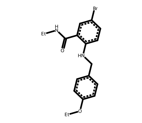 CCNC(=O)c1cc(Br)ccc1NCc1ccc(OCC)cc1